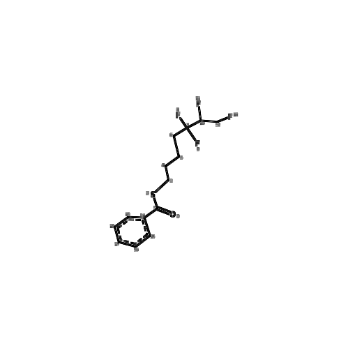 O=C(SCCCCC(F)(F)C(F)CF)c1ccccc1